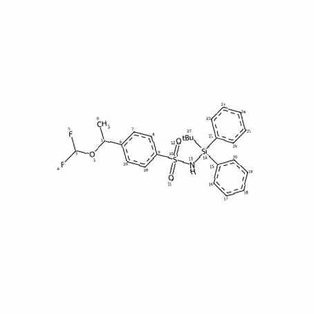 CC(OC(F)F)c1ccc(S(=O)(=O)N[Si](c2ccccc2)(c2ccccc2)C(C)(C)C)cc1